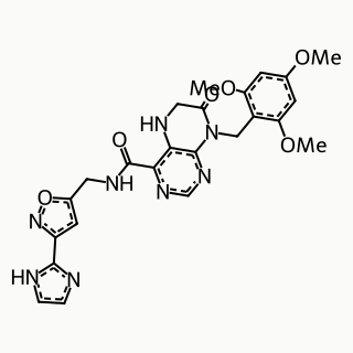 COc1cc(OC)c(CN2C(=O)CNc3c(C(=O)NCc4cc(-c5ncc[nH]5)no4)ncnc32)c(OC)c1